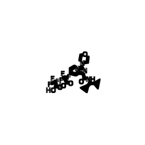 O=C(NC(C1CC1)C1CC1)c1nc(N2CCOCC2)n2ccccc12.O=C(O)C(F)(F)F.O=C(O)C(F)(F)F